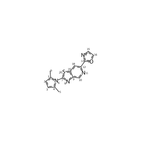 Cc1ccc(C)n1-c1nc2cnc(-c3ncco3)cc2s1